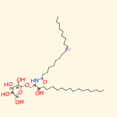 CCCCCCCC/C=C\CCCCCCCC(=O)N[C@@H](COC1O[C@H](CO)[C@H](O)[C@H](O)[C@H]1O)[C@H](O)CCCCCCCCCCCCCCC